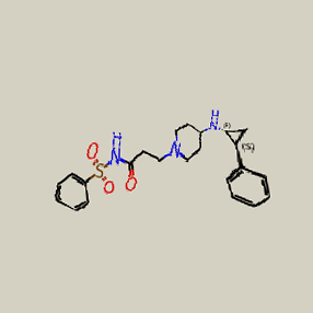 O=C(CCN1CCC(N[C@@H]2C[C@H]2c2ccccc2)CC1)NS(=O)(=O)c1ccccc1